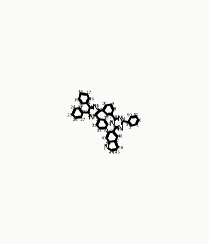 c1ccc(-c2nc(-c3cccc(-c4nc(-c5ccccc5)c(-c5ccccc5)nc4-c4ccccc4)c3)nc(-c3ccc4ncccc4c3)n2)cc1